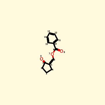 O=C1CCCC1=COC(=O)c1ccccc1